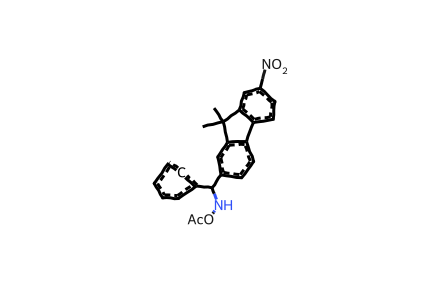 CC(=O)ONC(c1ccccc1)c1ccc2c(c1)C(C)(C)c1cc([N+](=O)[O-])ccc1-2